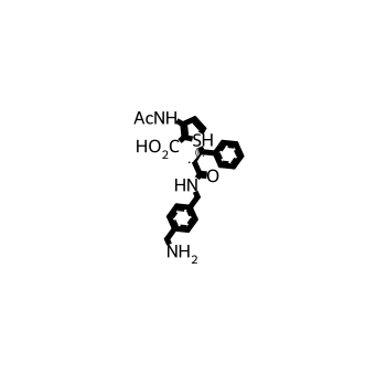 CC(=O)NC1=C(C(=O)O)[SH]([C@H]([CH]C(=O)NCc2ccc(CN)cc2)c2ccccc2)C=C1